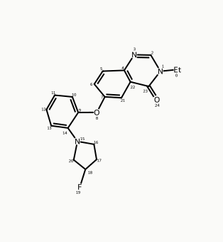 CCn1cnc2ccc(Oc3ccccc3N3CCC(F)C3)cc2c1=O